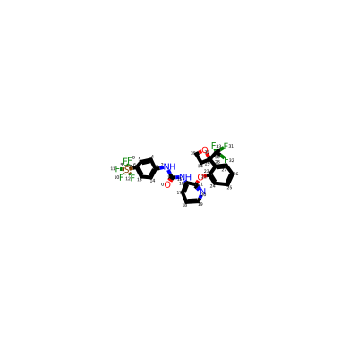 O=C(Nc1ccc(S(F)(F)(F)(F)F)cc1)Nc1cccnc1Oc1ccccc1C1(C(F)(F)F)CCO1